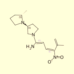 C=C(C)/C(=C\C=C(/N)N1CC[C@H](N2CCC[C@@H]2C)C1)[N+](=O)[O-]